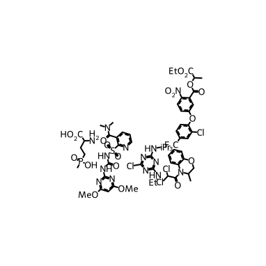 CC1COc2ccccc2N1C(=O)C(Cl)Cl.CCNc1nc(Cl)nc(NC(C)C)n1.CCOC(=O)C(C)OC(=O)c1cc(Oc2ccc(C(F)(F)F)cc2Cl)ccc1[N+](=O)[O-].COc1cc(OC)nc(NC(=O)NS(=O)(=O)c2ncccc2C(=O)N(C)C)n1.CP(=O)(O)CCC(N)C(=O)O